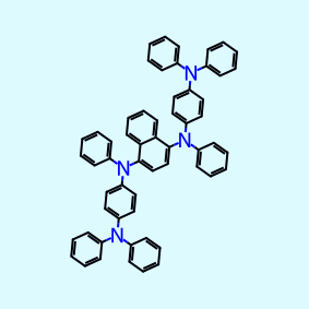 c1ccc(N(c2ccccc2)c2ccc(N(c3ccccc3)c3ccc(N(c4ccccc4)c4ccc(N(c5ccccc5)c5ccccc5)cc4)c4ccccc34)cc2)cc1